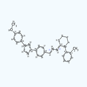 Cc1ccccc1N1CCCS/C1=N\N=C\c1ccc(-c2ncn(-c3ccc(OC(F)(F)F)cc3)n2)cc1